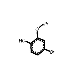 CC(C)Oc1cc(Br)ccc1O